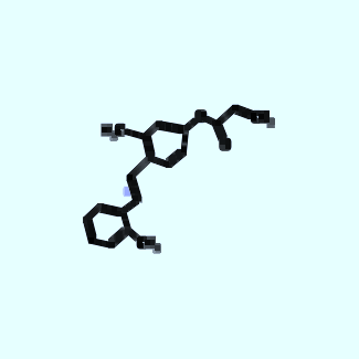 C=CC(=O)Oc1ccc(/C=C/c2ccccc2C)c(C)c1